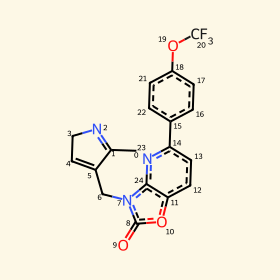 CC1=NCC=C1Cn1c(=O)oc2ccc(-c3ccc(OC(F)(F)F)cc3)nc21